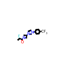 C=C(F)C(=O)N1CC(N2C=CN(c3ccc(C(F)(F)F)cc3)C2)C1